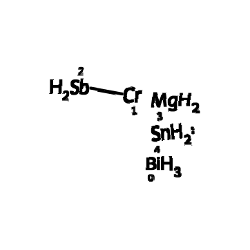 [BiH3].[Cr][SbH2].[MgH2].[SnH2]